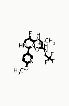 COc1ccc(C2=NC(N[C@H](C)C(=O)NCC(F)(F)F)=C(F)CN2)cn1